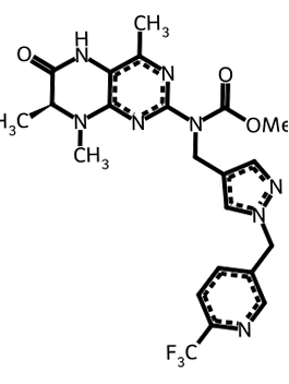 COC(=O)N(Cc1cnn(Cc2ccc(C(F)(F)F)nc2)c1)c1nc(C)c2c(n1)N(C)[C@@H](C)C(=O)N2